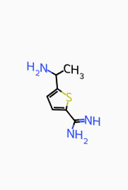 CC(N)c1ccc(C(=N)N)s1